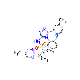 Cc1cnc([C@H](C)[C@@H](C)S(=O)(=O)Nc2nnc(-c3cc(C)ccn3)n2-c2c(F)cccc2F)nc1